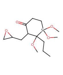 CCCC1(OC)C(CC2CO2)C(=O)CC[Si]1(OC)OC